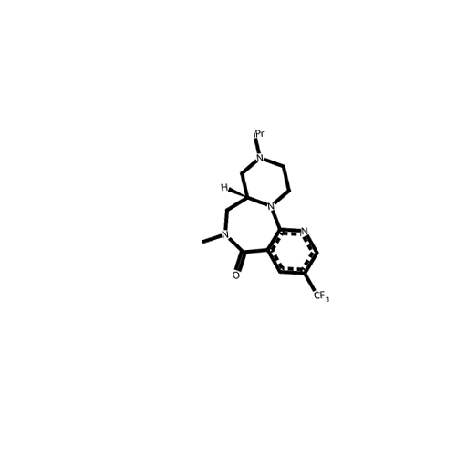 CC(C)N1CCN2c3ncc(C(F)(F)F)cc3C(=O)N(C)C[C@@H]2C1